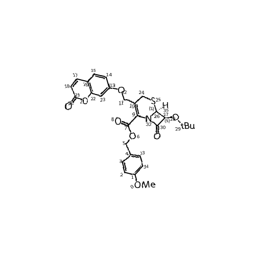 COc1ccc(COC(=O)C2=C(COc3ccc4ccc(=O)oc4c3)CS[C@H]3[C@@H](OC(C)(C)C)C(=O)N23)cc1